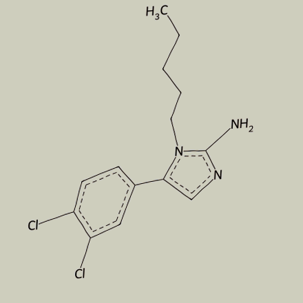 CCCCCn1c(-c2ccc(Cl)c(Cl)c2)cnc1N